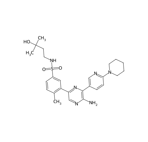 Cc1ccc(S(=O)(=O)NCCC(C)(C)O)cc1-c1cnc(N)c(-c2ccc(N3CCCCC3)nc2)n1